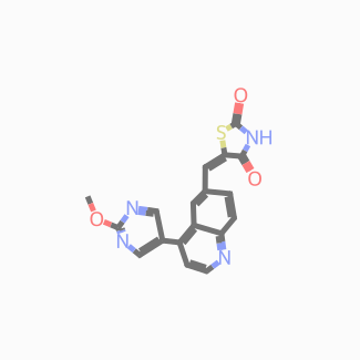 COc1ncc(-c2ccnc3ccc(C=C4SC(=O)NC4=O)cc23)cn1